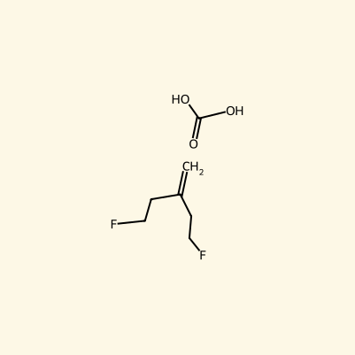 C=C(CCF)CCF.O=C(O)O